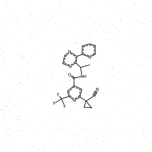 CC(NC(=O)c1cc(C(F)(F)F)nc(C2(C#N)CC2)c1)c1nccnc1-c1ccccn1